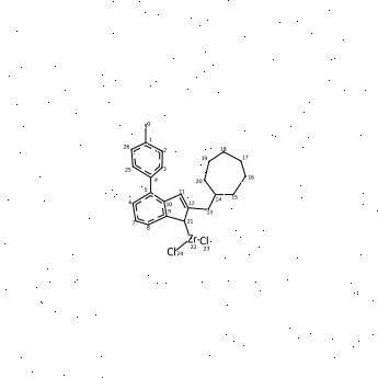 Cc1ccc(-c2cccc3c2C=C(CC2CCCCCC2)[CH]3[Zr]([Cl])[Cl])cc1